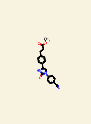 COC(=O)CCc1ccc(-c2cn(-c3ccc(C#N)cc3)c(=O)[nH]2)cc1